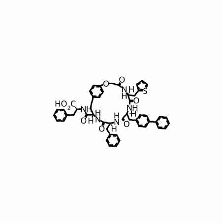 O=C1COc2ccc(cc2)C[C@@H](C(=O)N[C@@H](Cc2ccccc2)C(=O)O)NC(=O)[C@H](Cc2ccccc2)NC(=O)[C@H](Cc2ccc(-c3ccccc3)cc2)NC(=O)[C@H](Cc2cccs2)N1